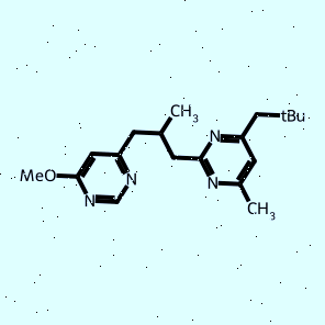 COc1cc(CC(C)Cc2nc(C)cc(CC(C)(C)C)n2)ncn1